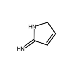 N=C1C=CCN1